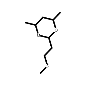 CSCCC1OC(C)CC(C)O1